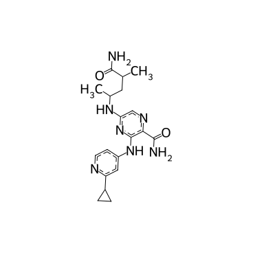 CC(CC(C)C(N)=O)Nc1cnc(C(N)=O)c(Nc2ccnc(C3CC3)c2)n1